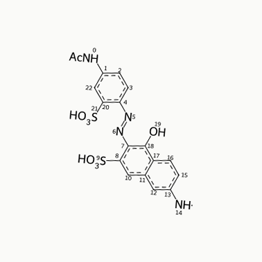 CC(=O)Nc1ccc(N=Nc2c(S(=O)(=O)O)cc3cc([NH])ccc3c2O)c(S(=O)(=O)O)c1